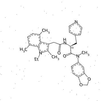 CCn1c(C)c(CC(=O)N[C@@H](Cc2ccncc2)C(=O)N(C)c2ccc3c(c2)OCO3)c2c(C)ccc(C)c21